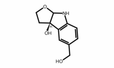 OCc1ccc2c(c1)[C@]1(O)CCOC1N2